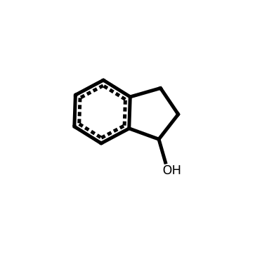 OC1CCc2ccccc21